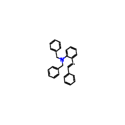 [C](=Cc1ccccc1)c1ccccc1N(Cc1ccccc1)Cc1ccccc1